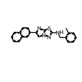 Cc1ccccc1CNc1nn2cc(-c3ccc4ccccc4c3)nc2s1